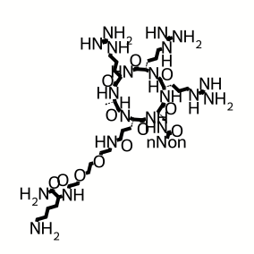 CCCCCCCCCC(=O)NC[C@@H]1NC(=O)[C@H](CCC(=O)NCCOCCOCC(=O)NC(CCCCN)C(N)=O)NC(=O)[C@H](C)NC(=O)C(CCCNC(=N)N)NC(=O)[C@H](CCCNC(=N)N)NC(=O)[C@H](CCCNC(=N)N)NC1=O